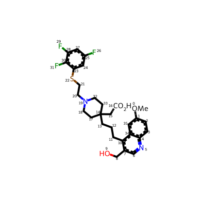 COc1ccc2ncc(CO)c(CCCC3(CC(=O)O)CCN(CCSc4cc(F)cc(F)c4F)CC3)c2c1